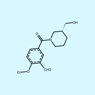 CCOc1ccc(C(=O)N2CCC[C@@H](CO)C2)cc1C=O